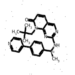 C[C@H](Nc1ncc2ccc(=O)n(CC(C)(C)C)c2n1)c1ccc(-c2ccncc2)cc1